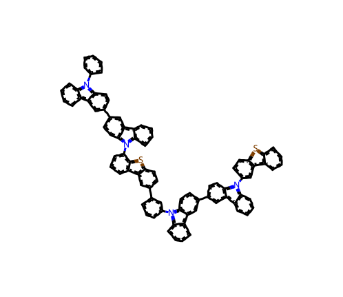 c1ccc(-n2c3ccccc3c3cc(-c4ccc5c(c4)c4ccccc4n5-c4cccc5c4sc4ccc(-c6cccc(-n7c8ccccc8c8cc(-c9ccc%10c(c9)c9ccccc9n%10-c9ccc%10sc%11ccccc%11c%10c9)ccc87)c6)cc45)ccc32)cc1